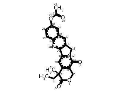 CC[C@@]1(C)C(=O)OCc2c1cc1n(c2=O)Cc2cc3cc(OC(C)=O)ccc3nc2-1